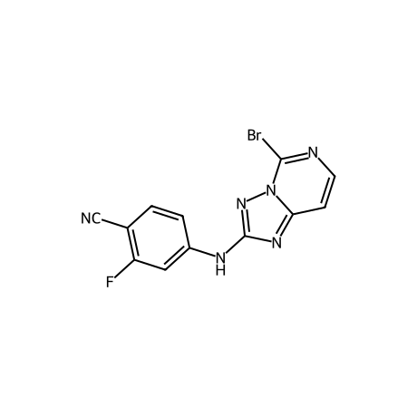 N#Cc1ccc(Nc2nc3ccnc(Br)n3n2)cc1F